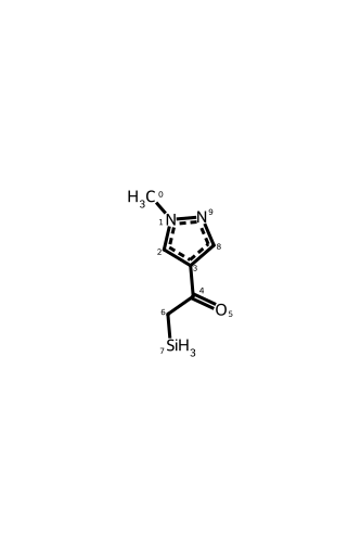 Cn1cc(C(=O)C[SiH3])cn1